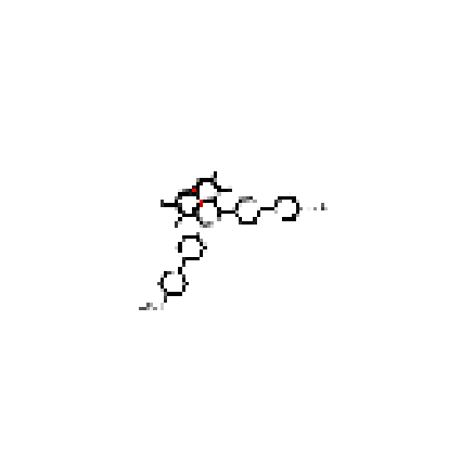 CCCCCCCC[C@H]1CC[C@H]([C@H]2CC[C@H](C(OC(c3cccc(F)c3F)[C@H]3CC[C@H]([C@H]4CC[C@H](CCCCCCCC)CC4)CC3)c3cccc(F)c3F)CC2)CC1